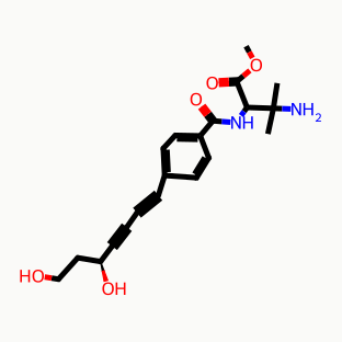 COC(=O)C(NC(=O)c1ccc(C#CC#C[C@@H](O)CCO)cc1)C(C)(C)N